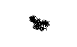 COc1ccc(C2CCCCC2)c2c1cc1n2CC2=C(C(=O)NS(=O)(=O)C(C)C)C2=C2C=CC[C@@H](C(=O)N3CCC4(CCCN4C(C)=O)CC3)C21